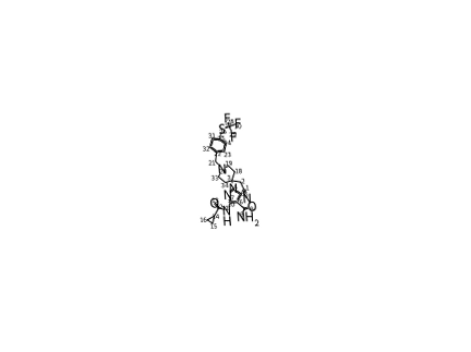 N#CCC1(n2cc(C(N)=O)c(NC(=O)C3CC3)n2)CCN(Cc2ccc(SC(F)(F)F)cc2)CC1